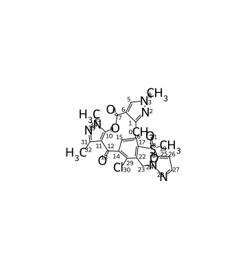 Cc1nn(C)cc1C(=O)Oc1c(C(=O)c2ccc(S(C)(=O)=O)c(Cn3cccn3)c2Cl)c(C)nn1C